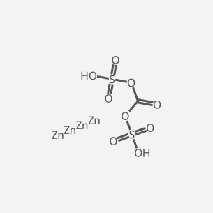 O=C(OS(=O)(=O)O)OS(=O)(=O)O.[Zn].[Zn].[Zn].[Zn]